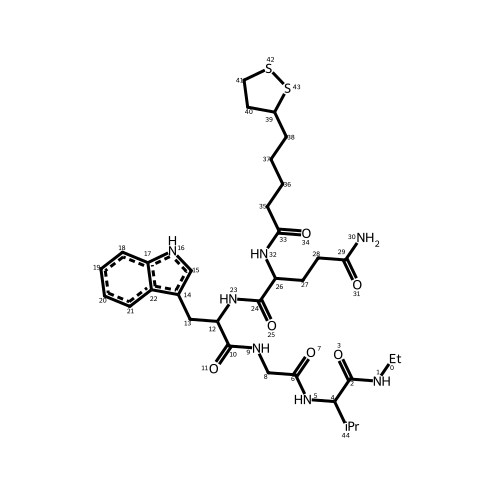 CCNC(=O)C(NC(=O)CNC(=O)C(Cc1c[nH]c2ccccc12)NC(=O)C(CCC(N)=O)NC(=O)CCCCC1CCSS1)C(C)C